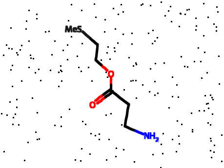 CSCCOC(=O)CCN